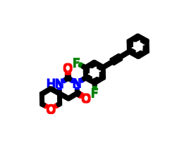 O=C1CC2(CCCOC2)NC(=O)N1c1c(F)cc(C#Cc2ccccc2)cc1F